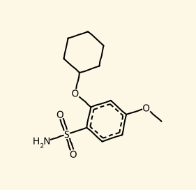 COc1ccc(S(N)(=O)=O)c(OC2CCCCC2)c1